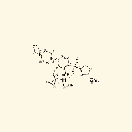 CO[C@H]1CC[C@H](S(=O)(=O)c2ccc(N3CCN(CC(F)(F)F)CC3)cc2C(F)(F)F)C1.N#CC1(NC(=O)O)CC1